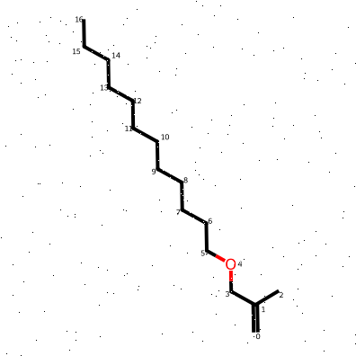 C=C(C)CO[CH]CCCCCCCCCCC